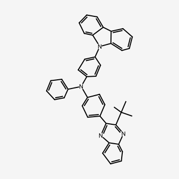 CC(C)(C)c1nc2ccccc2nc1-c1ccc(N(c2ccccc2)c2ccc(-n3c4ccccc4c4ccccc43)cc2)cc1